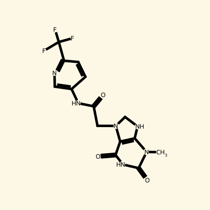 Cn1c2c(c(=O)[nH]c1=O)N(CC(=O)Nc1ccc(C(F)(F)F)nc1)CN2